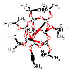 C[SiH](C)O[Si]12O[Si]3(C)O[Si]4(OC#C[SiH3])O[Si](O[SiH](C)C)(O1)O[Si]1(O[SiH](C)C)O[Si](O[SiH](C)C)(O4)O[Si](O[SiH](C)C)(O3)O[Si](O[SiH](C)C)(O2)O1